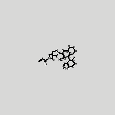 C=CC(=O)N1CC2(CCN(c3cc4c(c(-c5c(C)ccc6[nH]ncc56)c3C#N)CCCC4)C2)C1